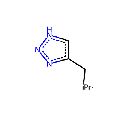 C[C](C)Cc1c[nH]nn1